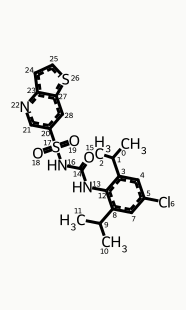 CC(C)c1cc(Cl)cc(C(C)C)c1NC(=O)NS(=O)(=O)c1cnc2ccsc2c1